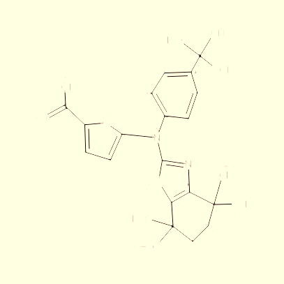 CC(O)(O)c1ccc(N(c2ccc(C(=O)O)o2)c2nc3c(s2)C(C)(C)CCC3(C)C)cc1